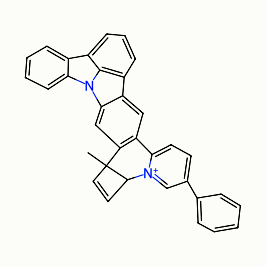 CC12C=CC1[n+]1cc(-c3ccccc3)ccc1-c1cc3c4cccc5c6ccccc6n(c3cc12)c54